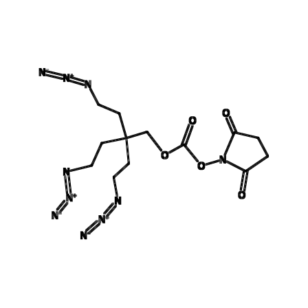 [N-]=[N+]=NCCC(CCN=[N+]=[N-])(CCN=[N+]=[N-])COC(=O)ON1C(=O)CCC1=O